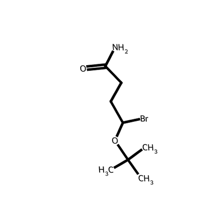 CC(C)(C)OC(Br)CCC(N)=O